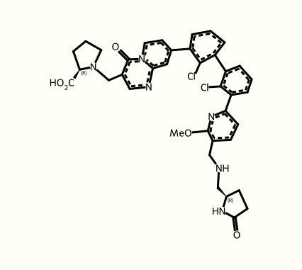 COc1nc(-c2cccc(-c3cccc(-c4ccn5c(=O)c(CN6CCC[C@@H]6C(=O)O)cnc5c4)c3Cl)c2Cl)ccc1CNC[C@H]1CCC(=O)N1